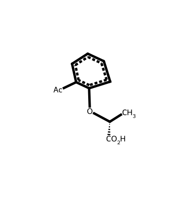 CC(=O)c1ccccc1O[C@H](C)C(=O)O